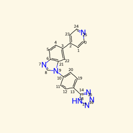 c1cc(-c2ccc3ncn(-c4ccc(-c5nnn[nH]5)cc4)c3c2)ccn1